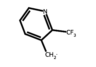 [CH2]c1cccnc1C(F)(F)F